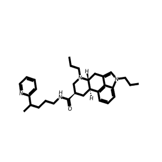 CCCN1C[C@H](C(=O)NCCCC(C)c2ccccn2)C[C@@H]2c3cccc4c3c(cn4CCC)C[C@H]21